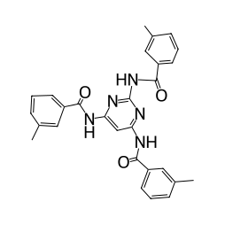 Cc1cccc(C(=O)Nc2cc(NC(=O)c3cccc(C)c3)nc(NC(=O)c3cccc(C)c3)n2)c1